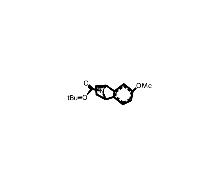 COc1ccc2c(c1)C1=CCC2N1C(=O)OC(C)(C)C